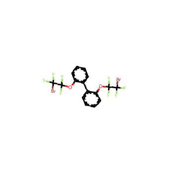 FC(F)(Br)C(F)(F)Oc1ccccc1-c1ccccc1OC(F)(F)C(F)(F)Br